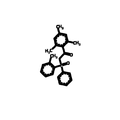 Cc1cc(C)c(C(=O)CP(=O)(c2ccccc2)c2ccccc2C)c(C)c1